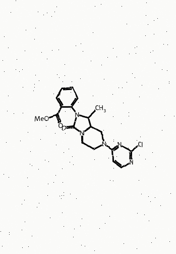 COC(=O)c1ccccc1N1C(=O)N2CCN(c3ccnc(Cl)n3)CC2C1C